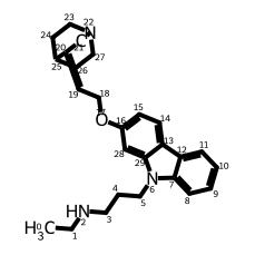 CCNCCCn1c2ccccc2c2ccc(OC/C=C3\CN4CCC3CC4)cc21